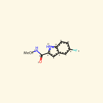 CONC(=O)c1cc2cc(F)ccc2[nH]1